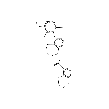 COc1ccc(F)c(-n2ncc3c2COC[C@H]3NC(=O)c2noc3c2CCCC3)c1Cl